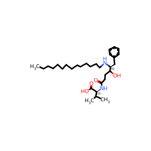 CCCCCCCCCCCCCCN[C@@H](Cc1ccccc1)C(O)CCC(=O)N[C@H](C(=O)O)C(C)C